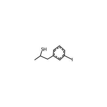 CC(S)Cc1cccc(I)c1